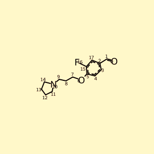 O=Cc1ccc(OCCCN2CCCC2)c(F)c1